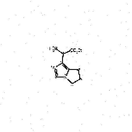 CCOC(=O)C(N)c1ncn2c1CCC2